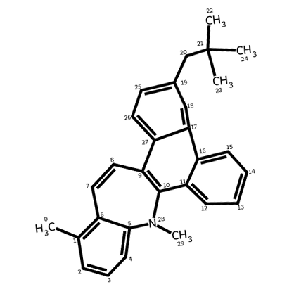 Cc1cccc2c1C=Cc1c(c3ccccc3c3cc(CC(C)(C)C)ccc13)N2C